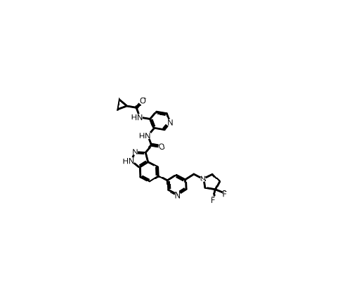 O=C(Nc1cnccc1NC(=O)C1CC1)c1n[nH]c2ccc(-c3cncc(CN4CCC(F)(F)C4)c3)cc12